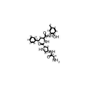 Cc1ccc(O)c(NC(=O)C(CCc2ccccc2)NC(=O)[C@@H]2C[C@@H](NC(=O)CN)CN2)c1